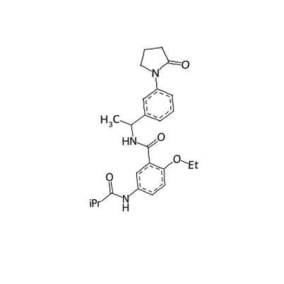 CCOc1ccc(NC(=O)C(C)C)cc1C(=O)NC(C)c1cccc(N2CCCC2=O)c1